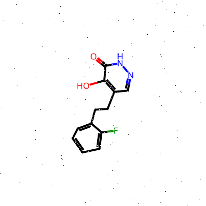 O=c1[nH]ncc(CCc2ccccc2F)c1O